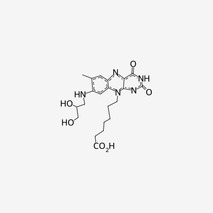 Cc1cc2nc3c(=O)[nH]c(=O)nc-3n(CCCCCCC(=O)O)c2cc1NCC(O)CO